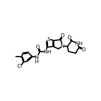 Cc1ccc(NC(=O)Nc2csc3c2CN(C2CCC(=O)NC2=O)C3=O)cc1Cl